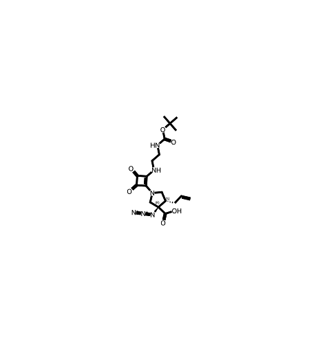 C=CC[C@H]1CN(c2c(NCCNC(=O)OC(C)(C)C)c(=O)c2=O)C[C@@]1(N=[N+]=[N-])C(=O)O